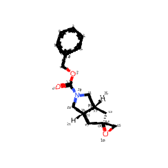 O=C(OCc1ccccc1)N1C[C@@H]2C[C@@]3(CO3)C[C@@H]2C1